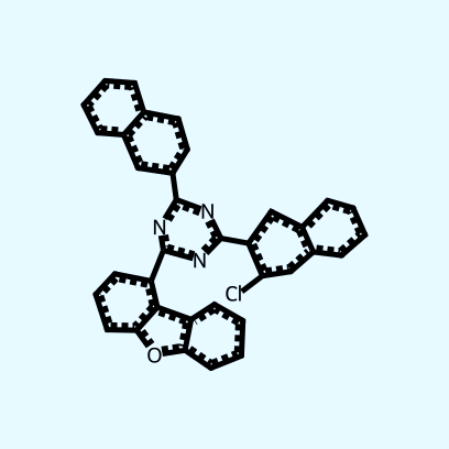 Clc1cc2ccccc2cc1-c1nc(-c2ccc3ccccc3c2)nc(-c2cccc3oc4ccccc4c23)n1